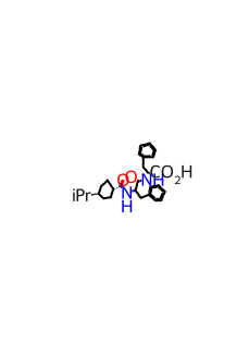 CC(C)[C@H]1CC[C@H](C(=O)NC(Cc2ccccc2)C(=O)NC(Cc2ccccc2)C(=O)O)CC1